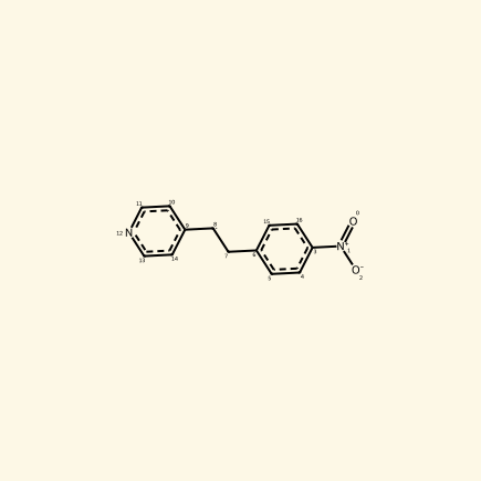 O=[N+]([O-])c1ccc(C[CH]c2ccncc2)cc1